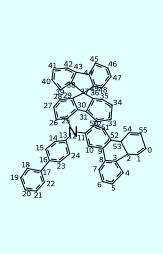 C1=CC2c3ccccc3-c3cc(N(c4ccc(-c5ccccc5)cc4)c4cccc5c4-c4ccccc4C54c5ccccc5-c5ccccc54)ccc3C2C=C1